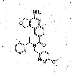 COc1ccc(CN(C(=O)c2ccc3nc(N)c4c(c3c2)COC4)C(C)c2ncccn2)nn1